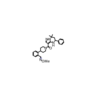 CO/N=C/c1ccccc1C1CCN(C(=O)c2cnn3c2NC(c2ccccc2)CC3(C)C)CC1